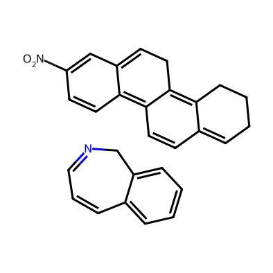 C1=Cc2ccccc2CN=C1.O=[N+]([O-])c1ccc2c(c1)=CCc1c3c(ccc1=2)=CCCC3